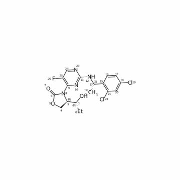 CC[C@@H](O)[C@H]1COC(=O)N1c1nc(N[C@@H](C)c2ccc(Cl)cc2Cl)ncc1F